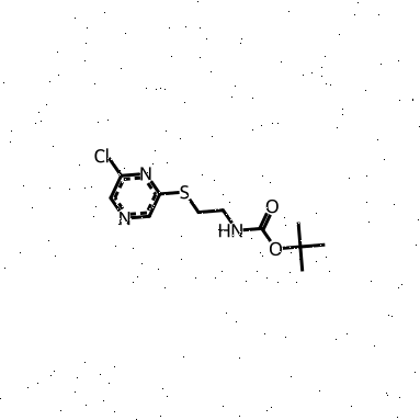 CC(C)(C)OC(=O)NCCSc1cncc(Cl)n1